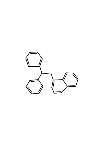 [CH](c1cccc2ccccc12)C(c1ccccc1)c1ccccc1